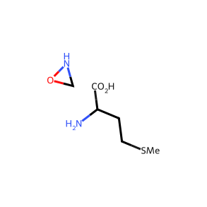 C1NO1.CSCCC(N)C(=O)O